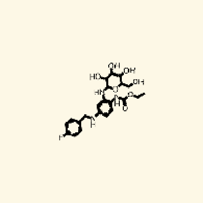 CCOC(=O)Nc1ccc(NCc2ccc(F)cc2)cc1NC1OC(CO)C(O)C(O)C1O